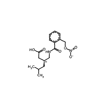 CC(C)C[C@H](CNC(=O)c1ccccc1CO[N+](=O)[O-])CC(=O)O